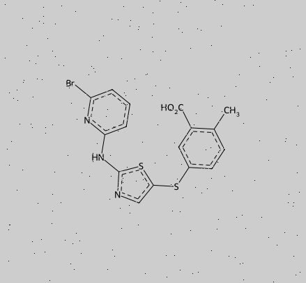 Cc1ccc(Sc2cnc(Nc3cccc(Br)n3)s2)cc1C(=O)O